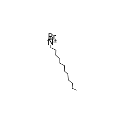 CCCCCCCCCCCC[N+](C)(C)Br